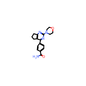 NC(=O)c1ccc(-c2nc(N3CCOCC3)nc3c2CCC3)cc1